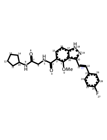 COc1c(C(=O)NCC(=O)NC2CCCC2)ccc2[nH]nc(/C=C/c3ccc(F)cc3)c12